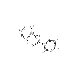 S=C(Oc1ncccn1)c1ccccc1